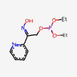 CCOP(OCC)OCC(=NO)c1ccccn1